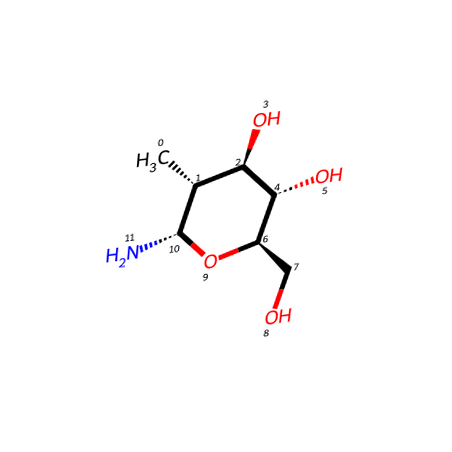 C[C@@H]1[C@@H](O)[C@H](O)[C@@H](CO)O[C@@H]1N